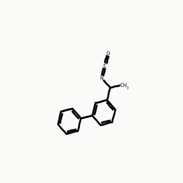 CC(N=C=O)c1cccc(-c2ccccc2)c1